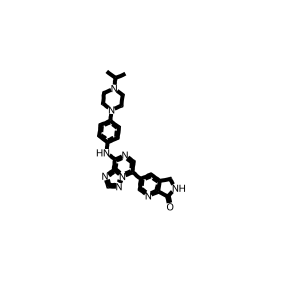 CC(C)N1CCN(c2ccc(Nc3ncc(-c4cnc5c(c4)CNC5=O)n4ncnc34)cc2)CC1